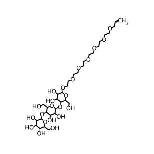 C=CCOCCOCCOCCOCCOCCOCCO[C@@H]1OC(CO)[C@@H](O[C@@H]2OC(CO)[C@H](O[C@H]3OC(CO)[C@H](O)C(O)C3O)C(O)C2O)C(O)C1O